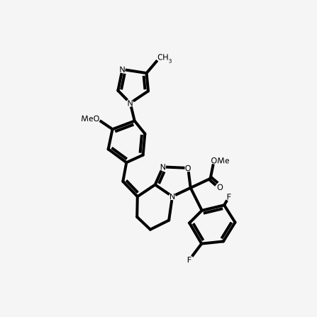 COC(=O)C1(c2cc(F)ccc2F)ON=C2/C(=C\c3ccc(-n4cnc(C)c4)c(OC)c3)CCCN21